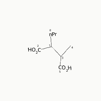 CCCC(C(=O)O)C(C)C(=O)O